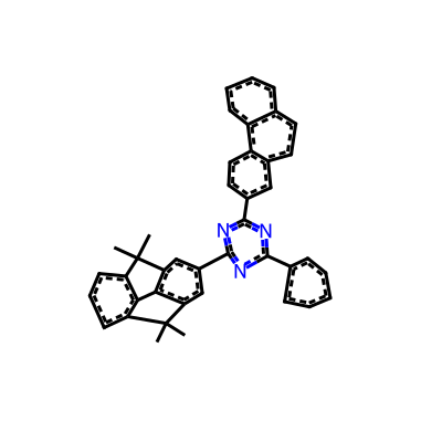 CC1(C)c2cccc3c2-c2c1cc(-c1nc(-c4ccccc4)nc(-c4ccc5c(ccc6ccccc65)c4)n1)cc2C3(C)C